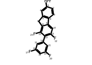 CCCc1ccc2c(c1)Cc1c-2cc(F)c(-c2cc(F)cc(F)c2)c1F